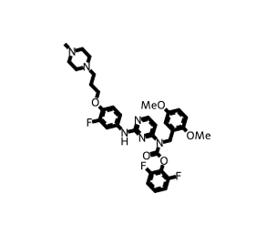 COc1ccc(OC)c(CN(C(=O)Oc2c(F)cccc2F)c2ccnc(Nc3ccc(OCCCN4CCN(C)CC4)c(F)c3)n2)c1